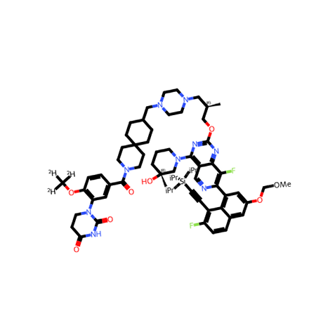 [2H]C([2H])([2H])Oc1ccc(C(=O)N2CCC3(CCC(CN4CCN(C[C@@H](C)COc5nc(N6CCC[C@@](C)(O)C6)c6cnc(-c7cc(OCOC)cc8ccc(F)c(C#C[Si](C(C)C)(C(C)C)C(C)C)c78)c(F)c6n5)CC4)CC3)CC2)cc1N1CCC(=O)NC1=O